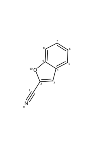 N#Cc1cc2ccccc2o1